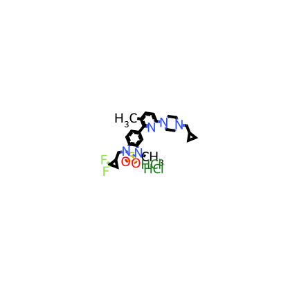 Cc1ccc(N2CCN(CC3CC3)CC2)nc1-c1ccc2c(c1)N(C)S(=O)(=O)N2CC1CC1(F)F.Cl.Cl